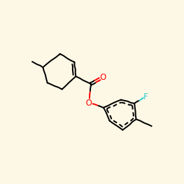 Cc1ccc(OC(=O)C2=CCC(C)CC2)cc1F